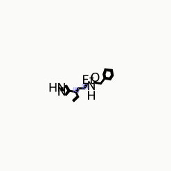 C=C/C(=C\C=C(/CC)NC(=O)Cc1ccccc1)c1cn[nH]c1